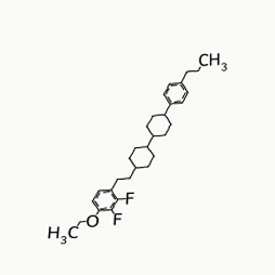 CCCc1ccc(C2CCC(C3CCC(CCc4ccc(OCC)c(F)c4F)CC3)CC2)cc1